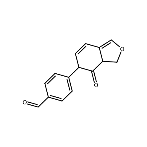 O=Cc1ccc(C2C=CC3=COCC3C2=O)cc1